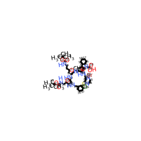 CN1C(=O)[C@H](CCCCNC(=O)OC(C)(C)C)NC(=O)[C@H](CCCNC(=O)OC(C)(C)C)NCc2ccccc2SC2=C(CNC(=O)[C@@H]1Cc1cn(C(=O)O)c3ccccc13)N(Br)C=CN2Cl